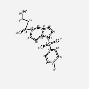 Cc1ccc(S(=O)(=O)n2ccc3cc(C(=O)CCC(C)C)ccc32)cc1